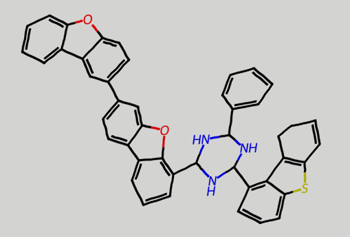 C1=Cc2sc3cccc(C4NC(c5ccccc5)NC(c5cccc6c5oc5cc(-c7ccc8oc9ccccc9c8c7)ccc56)N4)c3c2CC1